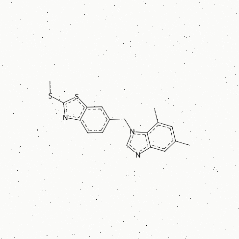 CSc1nc2ccc(Cn3cnc4cc(C)cc(C)c43)cc2s1